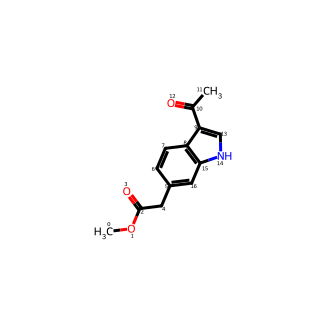 COC(=O)Cc1ccc2c(C(C)=O)c[nH]c2c1